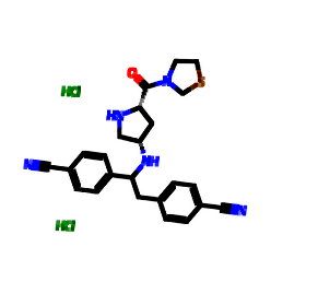 Cl.Cl.N#Cc1ccc(CC(N[C@@H]2CN[C@H](C(=O)N3CCSC3)C2)c2ccc(C#N)cc2)cc1